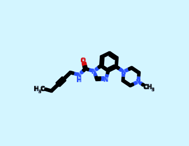 CCC#CCNC(=O)n1cnc2c(N3CCN(C)CC3)cccc21